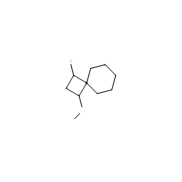 CCOC1CC(C(C)C)C12CCCCC2